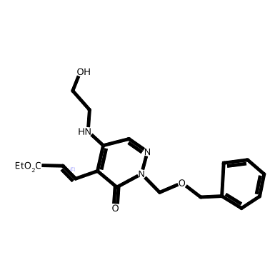 CCOC(=O)/C=C/c1c(NCCO)cnn(COCc2ccccc2)c1=O